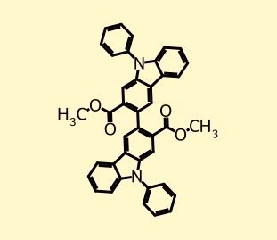 COC(=O)c1cc2c(cc1-c1cc3c4ccccc4n(-c4ccccc4)c3cc1C(=O)OC)c1ccccc1n2-c1ccccc1